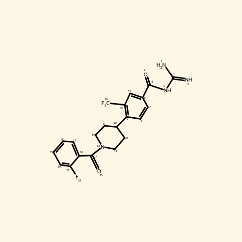 N=C(N)NC(=O)c1ccc(C2CCN(C(=O)c3ccccc3F)CC2)c(C(F)(F)F)c1